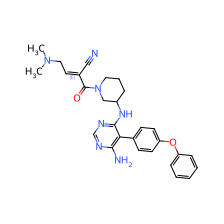 CN(C)C/C=C(\C#N)C(=O)N1CCCC(Nc2ncnc(N)c2-c2ccc(Oc3ccccc3)cc2)C1